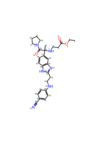 CCOC(=O)CCNC(C)(C(=O)N1CCCC1)c1ccc2[nH]c(CCNc3ccc(C#N)cc3)nc2c1